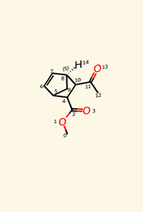 COC(=O)C1C2C=C[C@H](C2)C1C(C)=O